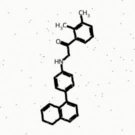 Cc1cccc(C(=O)CNc2ccc(-c3cccc4c3C=CCC4)cc2)c1C